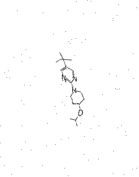 CC(C)OC1CCN(c2ncc(C(C)(C)C)cn2)CC1